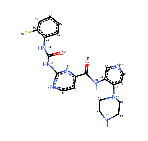 O=C(Nc1nccc(C(=O)Nc2cnccc2N2CCNCC2)n1)Nc1ccccc1F